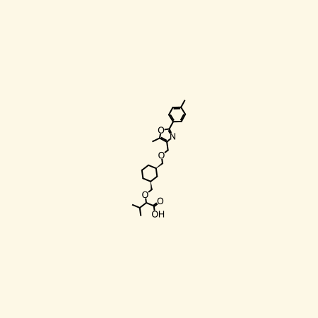 Cc1ccc(-c2nc(COC[C@@H]3CCC[C@H](COC(C(=O)O)C(C)C)C3)c(C)o2)cc1